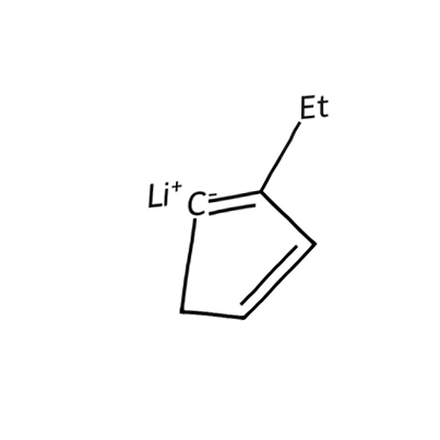 CCC1=[C-]CC=C1.[Li+]